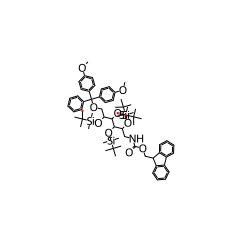 COc1ccc(C(OCC(O[Si](C)(C)C(C)(C)C)C(O[Si](C)(C)C(C)(C)C)C(O[Si](C)(C)C(C)(C)C)C(CNC(=O)OCC2c3ccccc3-c3ccccc32)O[Si](C)(C)C(C)(C)C)(c2ccccc2)c2ccc(OC)cc2)cc1